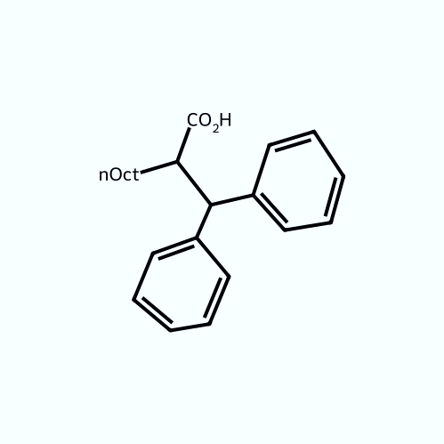 CCCCCCCCC(C(=O)O)C(c1ccccc1)c1ccccc1